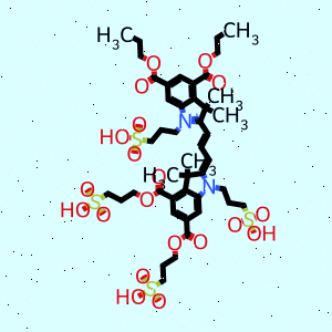 CCCOC(=O)c1cc(C(=O)OCCC)c2c(c1)[N+](CCCS(=O)(=O)O)=C(/C=C/C=C1/N(CCCS(=O)(=O)O)c3cc(C(=O)OCCCS(=O)(=O)O)cc(C(=O)OCCCS(=O)(=O)O)c3C1(C)C)C2(C)C